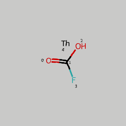 O=C(O)F.[Th]